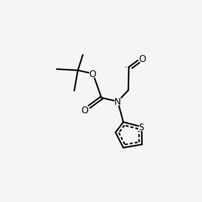 CC(C)(C)OC(=O)N(C[C]=O)c1cccs1